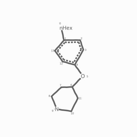 CCCCCCc1ccc(OC2CC[N]CC2)cc1